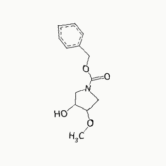 COC1CN(C(=O)OCc2ccccc2)CC1O